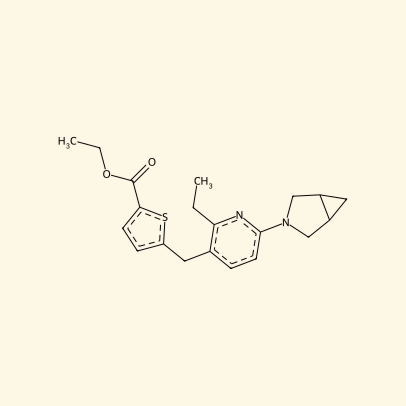 CCOC(=O)c1ccc(Cc2ccc(N3CC4CC4C3)nc2CC)s1